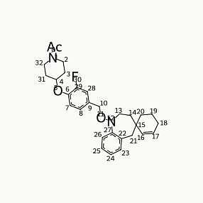 CC(=O)N1CCC(Oc2ccc(CON3CCC4(C=CCCC4)Cc4ccccc43)cc2F)CC1